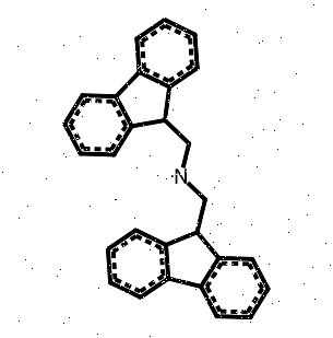 c1ccc2c(c1)-c1ccccc1C2C[N]CC1c2ccccc2-c2ccccc21